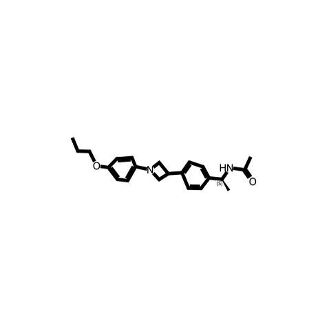 CCCOc1ccc(N2CC(c3ccc([C@H](C)NC(C)=O)cc3)C2)cc1